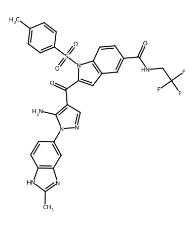 Cc1ccc(S(=O)(=O)n2c(C(=O)c3cnn(-c4ccc5[nH]c(C)nc5c4)c3N)cc3cc(C(=O)NCC(F)(F)F)ccc32)cc1